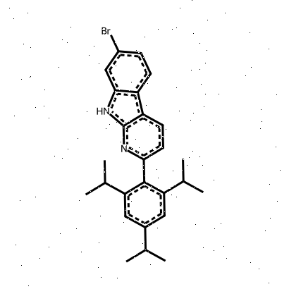 CC(C)c1cc(C(C)C)c(-c2ccc3c(n2)[nH]c2cc(Br)ccc23)c(C(C)C)c1